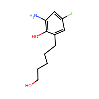 Nc1cc(F)cc(CCCCCO)c1O